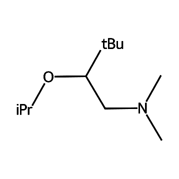 CC(C)OC(CN(C)C)C(C)(C)C